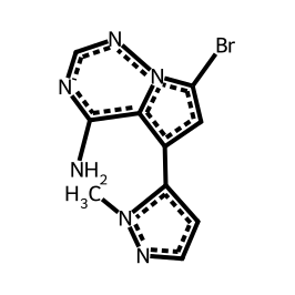 Cn1nccc1-c1cc(Br)n2ncnc(N)c12